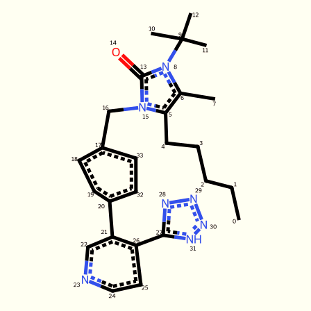 CCCCCc1c(C)n(C(C)(C)C)c(=O)n1Cc1ccc(-c2cnccc2-c2nnn[nH]2)cc1